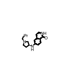 CC(C)CN1CC[C@H](Nc2ccc3c(=O)[nH]ccc3c2)C1